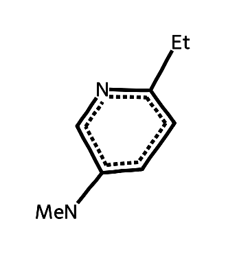 CCc1ccc(NC)cn1